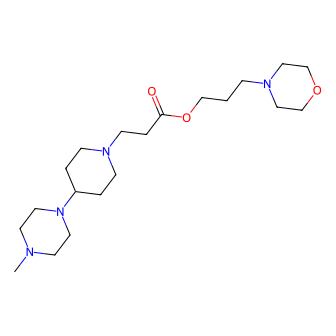 CN1CCN(C2CCN(CCC(=O)OCCCN3CCOCC3)CC2)CC1